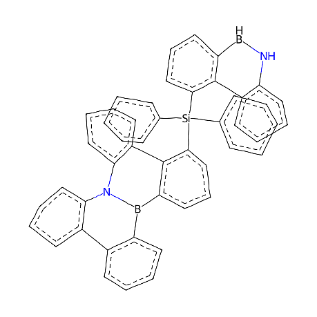 B1Nc2ccccc2-c2c1cccc2[Si](c1ccccc1)(c1ccccc1)c1cccc2c1-c1ccccc1N1B2c2ccccc2-c2ccccc21